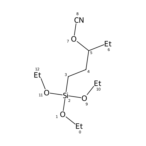 CCO[Si](CCC(CC)OC#N)(OCC)OCC